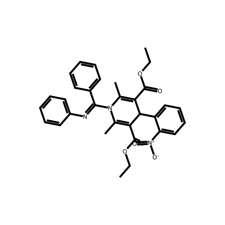 CCOC(=O)C1=C(C)N(C(=Nc2ccccc2)c2ccccc2)C(C)=C(C(=O)OCC)C1c1ccccc1[N+](=O)[O-]